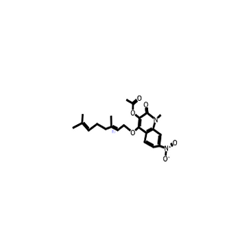 CC(=O)Oc1c(OC/C=C(\C)CCC=C(C)C)c2ccc([N+](=O)[O-])cc2n(C)c1=O